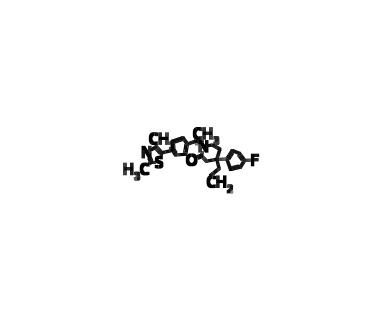 C=CCC1(c2ccc(F)cc2)CCN([C@@H](C)c2ccc(-c3sc(C)nc3C)cc2)C(=O)C1